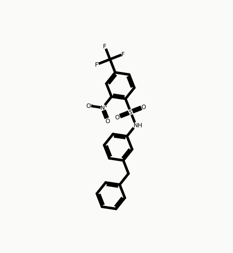 O=[N+]([O-])c1cc(C(F)(F)F)ccc1S(=O)(=O)Nc1cccc(Cc2ccccc2)c1